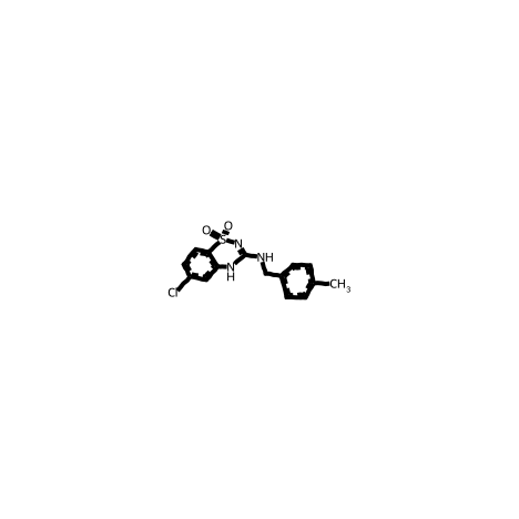 Cc1ccc(CNC2=NS(=O)(=O)c3ccc(Cl)cc3N2)cc1